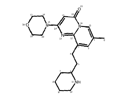 Cc1cc(CCC2CCCCN2)c2nc(N3CCOCC3)cc(=O)n2c1